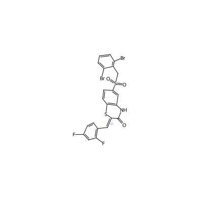 O=C1Nc2cc(S(=O)(=O)Cc3c(Br)cccc3Br)ccc2S/C1=C\c1ccc(F)cc1F